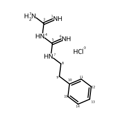 Cl.N=C(N)NC(=N)NCCc1ccccc1